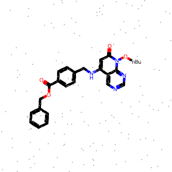 CCCCOn1c(=O)cc(NCc2ccc(C(=O)OCc3ccccc3)cc2)c2cncnc21